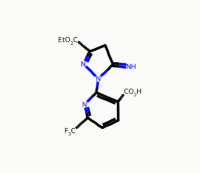 CCOC(=O)C1=NN(c2nc(C(F)(F)F)ccc2C(=O)O)C(=N)C1